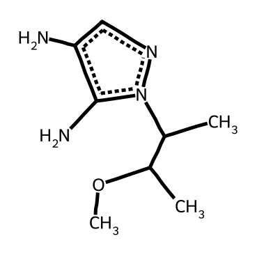 COC(C)C(C)n1ncc(N)c1N